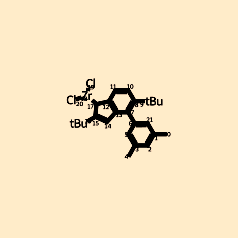 Cc1cc(C)cc(-c2c(C(C)(C)C)ccc3c2C=C(C(C)(C)C)[CH]3[Zr]([Cl])[Cl])c1